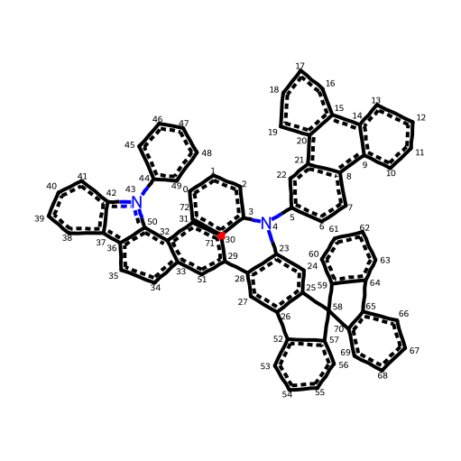 c1ccc(N(c2ccc3c4ccccc4c4ccccc4c3c2)c2cc3c(cc2-c2ccc4c(ccc5c6ccccc6n(-c6ccccc6)c45)c2)-c2ccccc2C32c3ccccc3-c3ccccc32)cc1